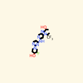 CC(O)c1nc2cnc(Nc3ccnc(N4CCC(O)C(F)C4)n3)cc2n1C(C)C(F)(F)F